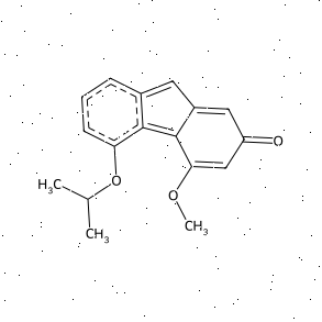 COC1=CC(=O)C=C2C=c3cccc(OC(C)C)c3=C21